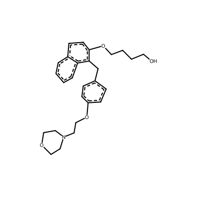 OCCCCOc1ccc2ccccc2c1Cc1ccc(OCCN2CCOCC2)cc1